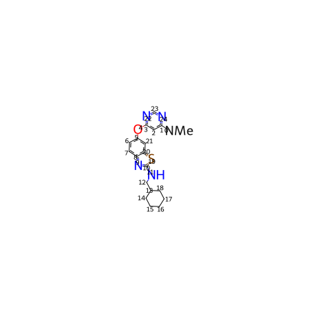 CNc1cc(Oc2ccc3nc(NCC4CCCCC4)sc3c2)ncn1